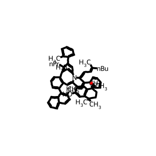 Bc1c2cc(-c3ccccc3C)c(CCC)c1-c1cccc(-c3c(C)ccc4ccccc34)c1/C=C(/c1cc3c(cc1O)C(C)(C)CCC3(C)C)N2C(=C/C=C(\C)CCCC)/C(=C\C)c1ccccc1